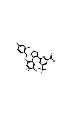 O=C([O-])c1cc(C(F)(F)F)cc(C2=C(c3cc(Cl)ccc3OCc3ccc(F)cc3F)CCC2)n1.[Na+]